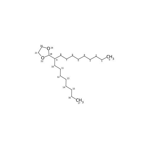 CCCCCCCCCC(CCCCCCCC)C1OCCO1